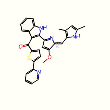 COC1=CC(c2[nH]c3ccccc3c2C(=O)c2ccc(-c3ccccn3)s2)=N/C1=C\c1[nH]c(C)cc1C